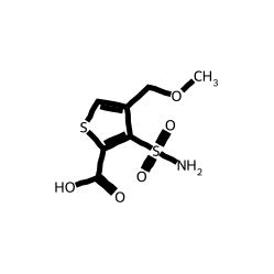 COCc1csc(C(=O)O)c1S(N)(=O)=O